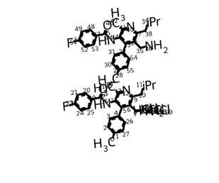 Cc1ccc(-c2c(CN)c(CC(C)C)nc(C)c2NC(=O)c2ccc(F)cc2)cc1.Cc1ccc(-c2c(CN)c(CC(C)C)nc(C)c2NC(=O)c2ccc(F)cc2)cc1.Cl.Cl.Cl.Cl